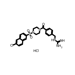 Cl.N=C(N)NCc1ccc(C(=O)N2CCN(S(=O)(=O)c3ccc4cc(Cl)ccc4c3)CC2)cc1